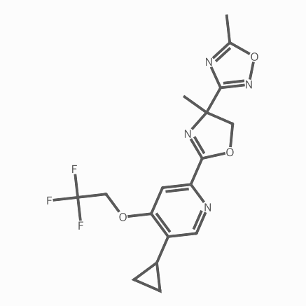 Cc1nc(C2(C)COC(c3cc(OCC(F)(F)F)c(C4CC4)cn3)=N2)no1